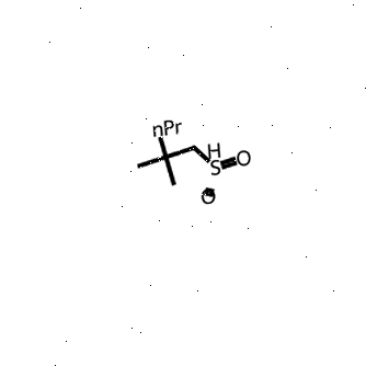 [CH2]CCC(C)(C)C[SH](=O)=O